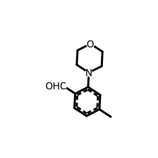 Cc1ccc(C=O)c(N2CCOCC2)c1